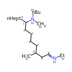 CCCCCCCC(CCCCC(C)C/C=N/CC)N(C)CCCC